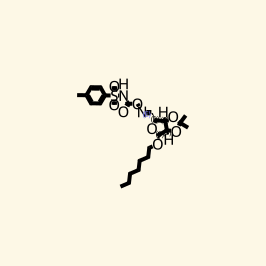 CCCCCCCO[C@H]1O[C@H](/C=N/OC(=O)NS(=O)(=O)c2ccc(C)cc2)[C@@H]2OC(C)(C)O[C@H]12